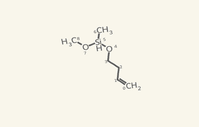 C=CCCO[SiH](C)OC